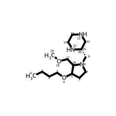 CCCCOC1CCN(C[C@H]2CNCCN2)C1COC